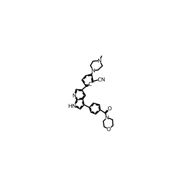 CN1CCN(c2ccc(-c3cnc4[nH]cc(-c5ccc(C(=O)N6CCOCC6)cc5)c4c3)cc2C#N)CC1